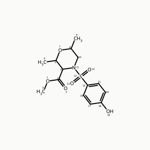 COC(=O)C1C(C)OC(C)CN1S(=O)(=O)c1ccc(O)cc1